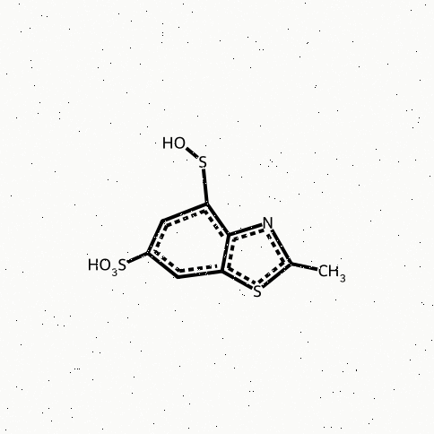 Cc1nc2c(SO)cc(S(=O)(=O)O)cc2s1